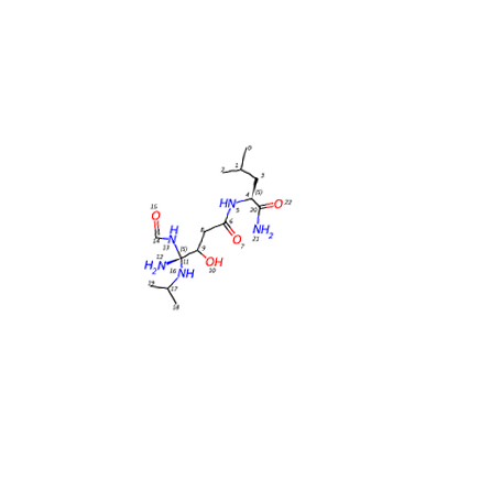 CC(C)C[C@H](NC(=O)CC(O)[C@@](N)(NC=O)NC(C)C)C(N)=O